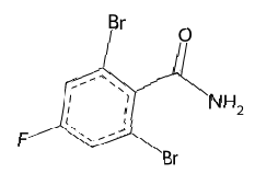 NC(=O)c1c(Br)cc(F)cc1Br